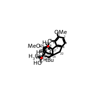 COc1ccc2c3c1O[C@H]1[C@@]4(OC)CCC[C@@]5(C[C@@H]4[C@](C)(O)C(C)(C)C)C(C2)N(C#N)CC[C@]315